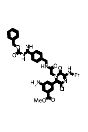 COC(=O)c1cc(N)cc(-c2c(Cl)nc(NC(C)C)c(=O)n2CC(=O)NCc2ccc(C(=N)NC(=O)OCc3ccccc3)cc2)c1